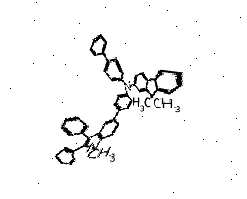 Cn1c(-c2ccccc2)c(-c2ccccc2)c2cc(-c3ccc(N(c4ccc(-c5ccccc5)cc4)c4ccc5c(c4)C(C)(C)c4ccccc4-5)cc3)ccc21